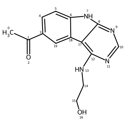 CC(=O)c1ccc2[nH]c3ncnc(NCCO)c3c2c1